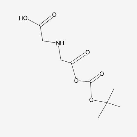 CC(C)(C)OC(=O)OC(=O)CNCC(=O)O